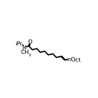 CCCCCCCCC=CCCCCCCCC(=O)N(C)C(C)C